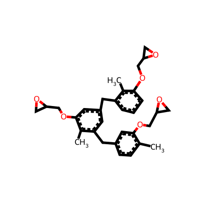 Cc1ccc(Cc2cc(Cc3cccc(OCC4CO4)c3C)cc(OCC3CO3)c2C)cc1OCC1CO1